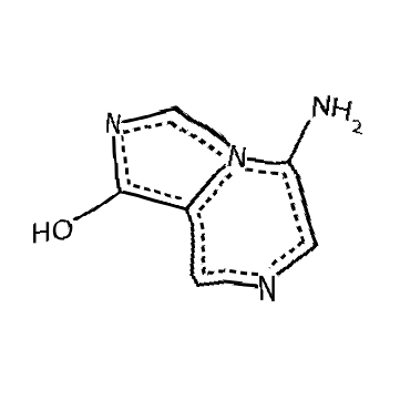 Nc1cncc2c(O)ncn12